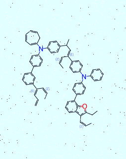 C=C/C=C(\C=C/C)c1cccc(-c2ccc(N(C3=CC=CC=CC3)c3ccc(C(C)/C=C(\C=C/C)c4ccc(N(c5ccccc5)c5ccc(-c6cccc7c(/C=C\C)c(CC)oc67)cc5)cc4)cc3)cc2)c1